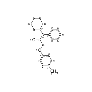 Cc1ccc(OCC(=O)N(c2ccccc2)C2CCCCC2)cc1